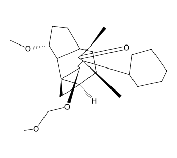 COCO[C@@H]1C[C@@](C)(C2CCCCC2)C(=O)[C@H](C)C23CC[C@H]4C[C@]41C2[C@H](OC)CC3